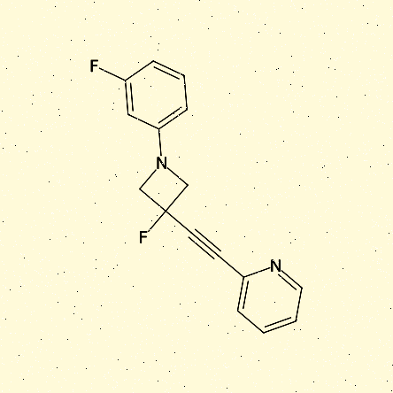 Fc1cccc(N2CC(F)(C#Cc3ccccn3)C2)c1